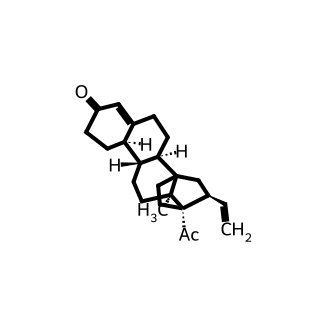 C=C[C@@H]1CC23CC[C@@]1(C(C)=O)[C@@]2(C)CC[C@H]1[C@H]3CCC2=CC(=O)CC[C@@H]21